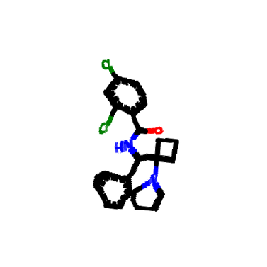 O=C(NC(c1ccccc1)C1(N2CCCC2)CCC1)c1ccc(Cl)cc1Cl